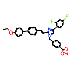 CCOc1ccc(-c2ccc(/C=C/c3nc(-c4ccc(F)cc4F)cn3Cc3ccc(C(=O)O)cc3)cc2)cc1